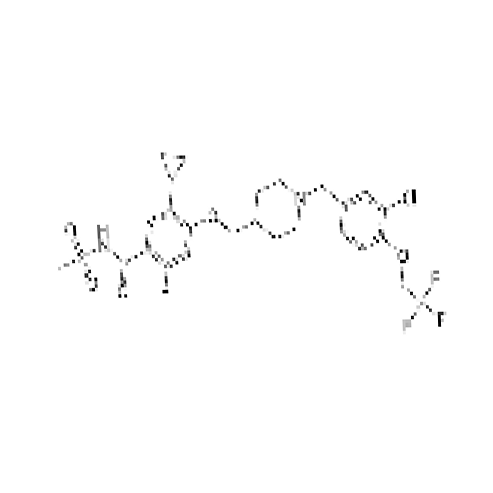 CS(=O)(=O)NC(=O)c1cc(C2CC2)c(OCC2CCN(Cc3ccc(OCC(F)(F)F)c(Cl)c3)CC2)cc1F